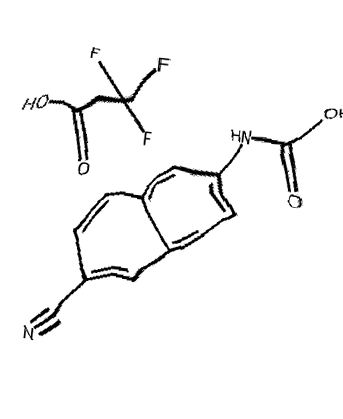 N#Cc1ccc2cc(NC(=O)O)ccc2c1.O=C(O)C(F)(F)F